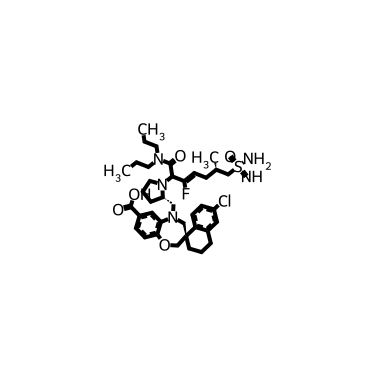 CCCN(CCC)C(=O)C(/C(F)=C/C[C@H](C)CS(=N)(N)=O)N1CCC[C@H]1CN1C[C@@]2(CCCc3cc(Cl)ccc32)COc2ccc(C(=O)O)cc21